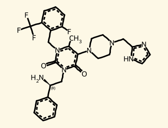 Cc1c(N2CCN(Cc3ncc[nH]3)CC2)c(=O)n(C[C@H](N)c2ccccc2)c(=O)n1Cc1c(F)cccc1C(F)(F)F